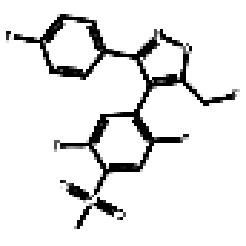 CS(=O)(=O)c1cc(F)c(-c2c(-c3ccc(F)cc3)noc2CF)cc1F